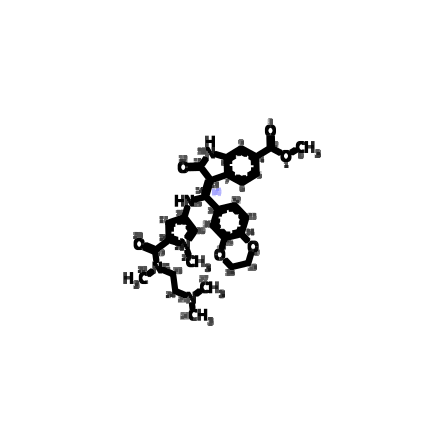 COC(=O)c1ccc2c(c1)NC(=O)/C2=C(\Nc1cc(C(=O)N(C)CCN(C)C)n(C)c1)c1ccc2c(c1)OCCO2